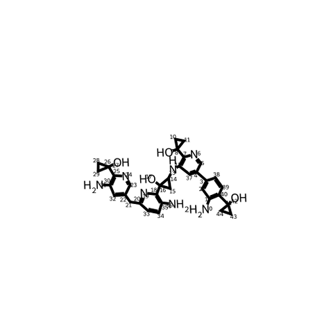 Nc1cc(-c2cnc(C3(O)CC3)c(NC3CC3(O)c3nc(Cc4cnc(C5(O)CC5)c(N)c4)ccc3N)c2)ccc1C1(O)CC1